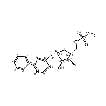 C[C@@H]1[C@@H](COS(N)(=O)=O)C[C@@H](Nc2cc(-c3ccccc3)ncn2)[C@@H]1O